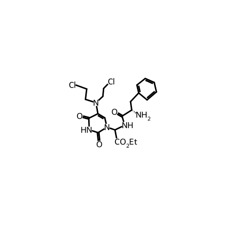 CCOC(=O)C(NC(=O)[C@@H](N)Cc1ccccc1)n1cc(N(CCCl)CCCl)c(=O)[nH]c1=O